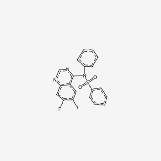 O=S(=O)(c1ccccc1)N(c1ccccc1)c1ncnc2cc(F)c(I)cc12